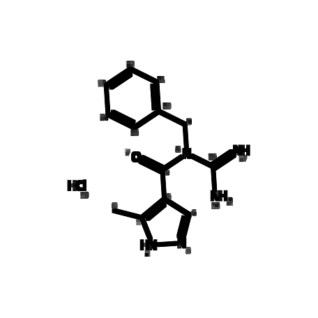 Cc1[nH]ncc1C(=O)N(Cc1ccccc1)C(=N)N.Cl